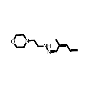 C=C/C=C(C)\C=N/NCCN1CCOCC1